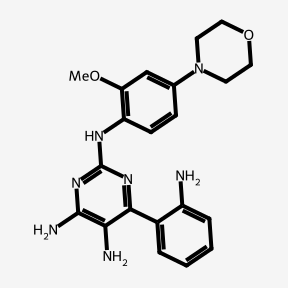 COc1cc(N2CCOCC2)ccc1Nc1nc(N)c(N)c(-c2ccccc2N)n1